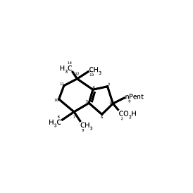 CCCCCC1(C(=O)O)CC2=C(C1)C(C)(C)CCC2(C)C